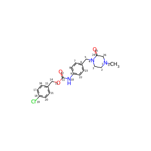 CN1CCN(Cc2ccc(NC(=O)OCc3ccc(Cl)cc3)cc2)C(=O)C1